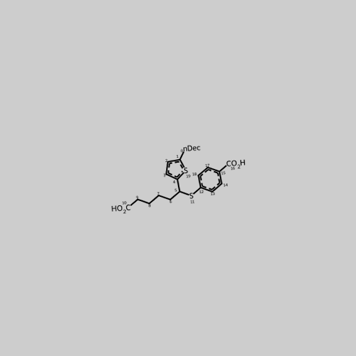 CCCCCCCCCCc1ccc(C(CCCCC(=O)O)Sc2ccc(C(=O)O)cc2)s1